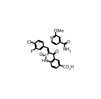 COc1cc(C(N)=O)ccn1.O=C(O)c1ccc2c(c1)C(=O)/C(=C/c1ccc(Cl)c(F)c1)[S+]([O-])N2